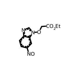 CCOC(=O)COn1cnc2ccc(N=O)cc21